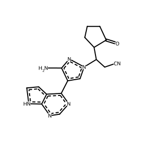 N#CCC(C1CCCC1=O)n1cc(-c2ncnc3[nH]ccc23)c(N)n1